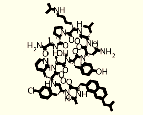 CC(=O)N[C@H](Cc1ccc2ccc(CC(C)C)cc2c1)C(=O)N[C@H](Cc1ccc(Cl)cc1)C(=O)N[C@H](Cc1cccnc1)C(=O)N[C@@H](CO)C(=O)N(C)[C@@H](Cc1ccc(O)cc1)C(=O)N[C@H](CC(N)=O)C(=O)N[C@@H](CC(C)C)C(=O)N[C@@H](CCCCNC(C)C)C(=O)N1CCC[C@H]1C(=O)N[C@H](C)C(N)=O